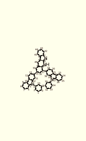 c1ccc(-n2c3ccccc3c3ccc(-c4cc(-c5ccc6c7ccccc7n(-c7ccccc7)c6c5)c5[nH]c6nc7ccccc7c-6cc5c4)cc32)cc1